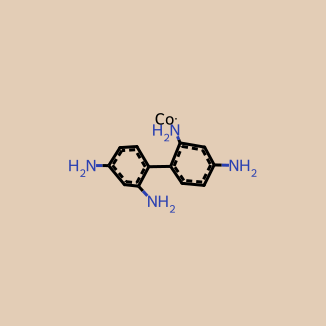 Nc1ccc(-c2ccc(N)cc2N)c(N)c1.[Co]